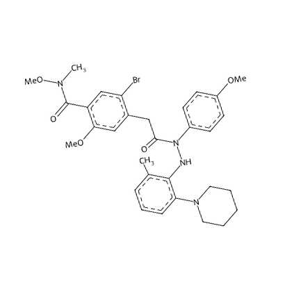 COc1ccc(N(Nc2c(C)cccc2N2CCCCC2)C(=O)Cc2cc(OC)c(C(=O)N(C)OC)cc2Br)cc1